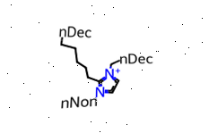 CCCCCCCCCCCCCCCc1n(CCCCCCCCC)cc[n+]1CCCCCCCCCCC